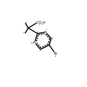 CC(C)(C(=O)O)c1ncc(Br)cn1